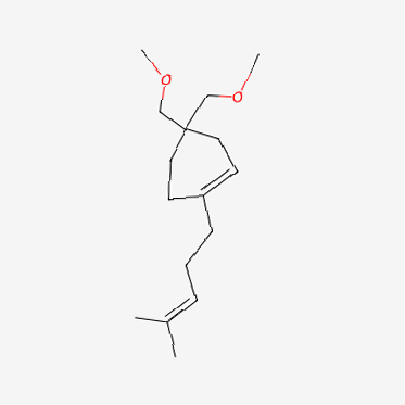 COCC1(COC)CC=C(CCC=C(C)C)CC1